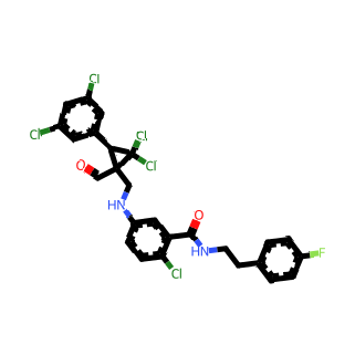 O=CC1(CNc2ccc(Cl)c(C(=O)NCCc3ccc(F)cc3)c2)C(c2cc(Cl)cc(Cl)c2)C1(Cl)Cl